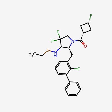 CCSN[C@@H]1[C@H](Cc2cccc(-c3ccccc3)c2F)N(C(=O)[C@H]2C[C@@H](F)C2)CC1(F)F